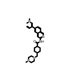 C=C/C(=C\N(C)C)c1ccc2cnc(NC(=O)C3CCC(CN4CCN(C)CC4)CC3)cc2c1